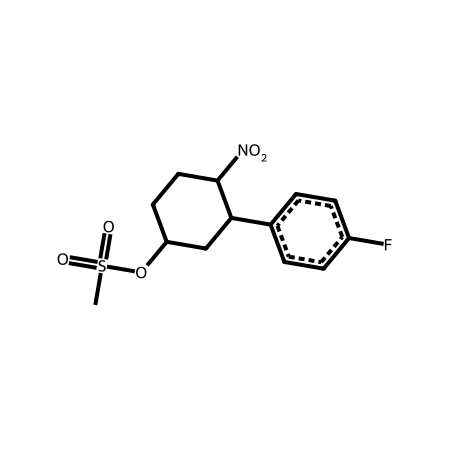 CS(=O)(=O)OC1CCC([N+](=O)[O-])C(c2ccc(F)cc2)C1